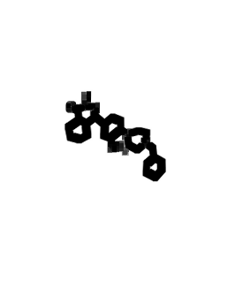 Nc1cc(-c2n[nH]c(=O)c3ccccc23)ccc1N1CCN(Cc2ccccc2)CC1